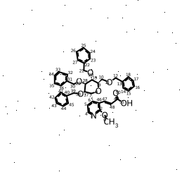 COc1nccc([C@H]2O[C@H](COCc3ccccc3)[C@@H](OCc3ccccc3)[C@H](OCc3ccccc3)[C@@H]2OCc2ccccc2)c1/C=C/C(=O)O